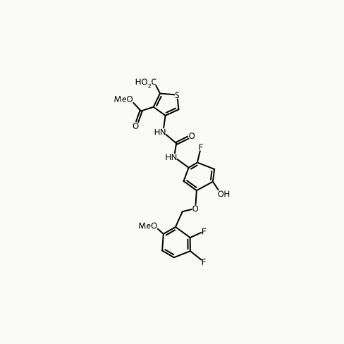 COC(=O)c1c(NC(=O)Nc2cc(OCc3c(OC)ccc(F)c3F)c(O)cc2F)csc1C(=O)O